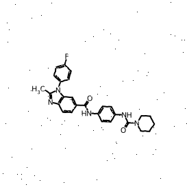 Cc1nc2ccc(C(=O)Nc3ccc(NC(=O)N4CCCCC4)cc3)cc2n1-c1ccc(F)cc1